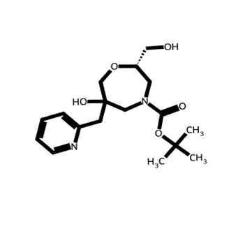 CC(C)(C)OC(=O)N1C[C@@H](CO)OCC(O)(Cc2ccccn2)C1